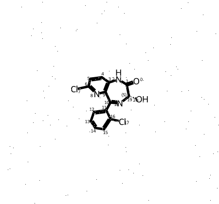 O=C1Nc2ccc(Cl)nc2C(c2ccccc2Cl)=N[C@H]1O